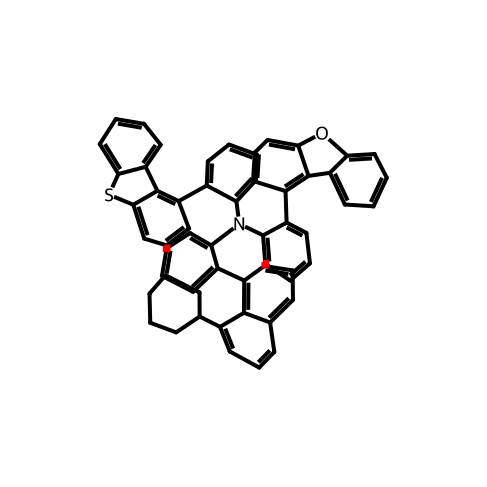 c1ccc(N(c2ccccc2-c2cccc3oc4ccccc4c23)c2ccccc2-c2cccc3sc4ccccc4c23)c(-c2cccc3cccc(C4CCCCC4)c23)c1